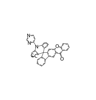 O=c1c2ccccc2oc2cc3c(cc12)-c1ccccc1C31c2ccccc2N(c2ccncn2)c2ccccc21